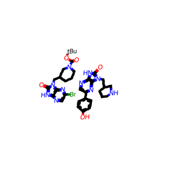 CC(C)(C)OC(=O)N1CCCC(Cn2c(=O)[nH]c3ncc(Br)nc32)C1.O=c1[nH]c2ncc(-c3ccc(O)cc3)nc2n1CC1CCCNC1